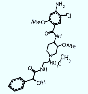 CC(=O)O.COc1cc(N)c(Cl)cc1C(=O)NC1CCN(CCNC(=O)C(O)c2ccccc2)CC1OC